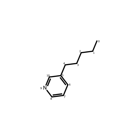 CCCCCc1c[c]cnc1